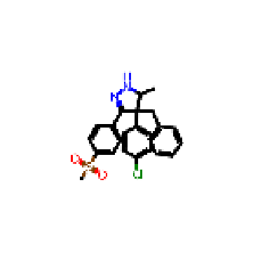 CC1NN=C(c2ccc(S(C)(=O)=O)cc2)C1(Cc1ccccc1)c1ccc(Cl)cc1